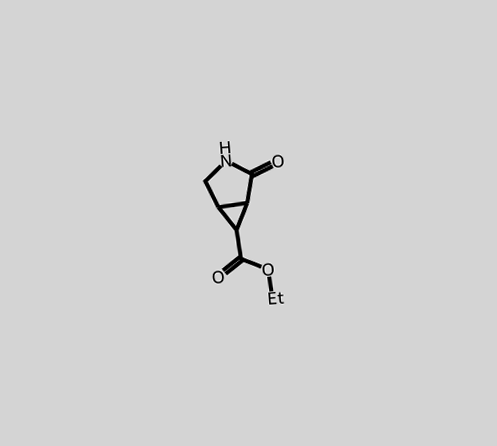 CCOC(=O)C1C2CNC(=O)C21